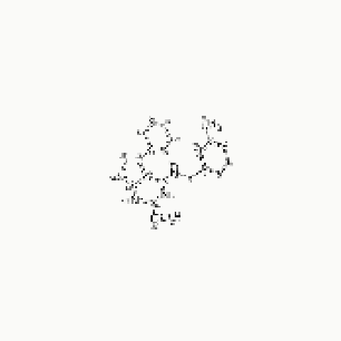 Cc1cccc(CNc2nc(C(=O)O)nc3scc(-c4ccccc4)c23)n1